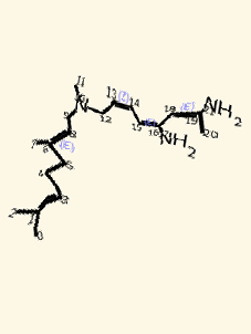 CC(C)=CCC/C(C)=C/CN(C)C\C=C/C=C(N)\C=C(/C)N